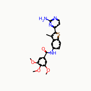 COc1cc(C(=O)Nc2ccc3sc(-c4ccnc(N)n4)c(C)c3c2)cc(OC)c1OC